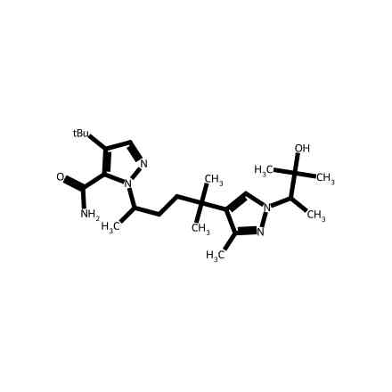 Cc1nn(C(C)C(C)(C)O)cc1C(C)(C)CCC(C)n1ncc(C(C)(C)C)c1C(N)=O